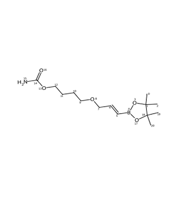 CC1(C)OB(C=CCOCCCCOC(N)=O)OC1(C)C